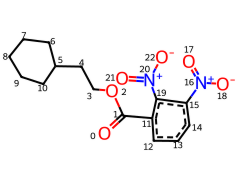 O=C(OCCC1CCCCC1)c1cccc([N+](=O)[O-])c1[N+](=O)[O-]